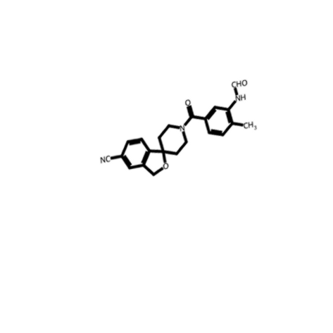 Cc1ccc(C(=O)N2CCC3(CC2)OCc2cc(C#N)ccc23)cc1NC=O